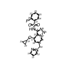 O=S(=O)(Nc1nnn2cc(Cn3cccn3)cc(OC3CC3)c12)c1ccccc1F